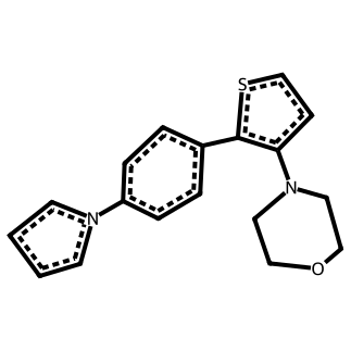 c1ccn(-c2ccc(-c3sccc3N3CCOCC3)cc2)c1